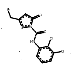 O=C(Nc1cccc(Cl)c1Cl)n1sc(CBr)cc1=O